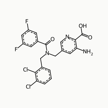 Nc1cc(CN(Cc2cccc(Cl)c2Cl)C(=O)c2cc(F)cc(F)c2)cnc1C(=O)O